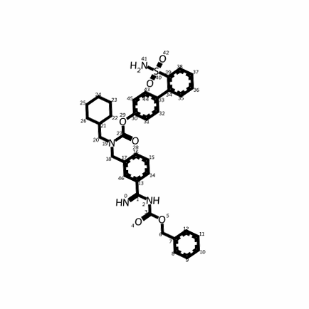 N=C(NC(=O)OCc1ccccc1)c1cccc(CN(CC2CCCCC2)C(=O)Oc2ccc(-c3ccccc3S(N)(=O)=O)cc2)c1